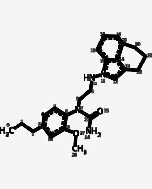 CCCc1ccc(N(CCNn2cc3c4c(cccc42)CCC3)C(N)=O)c(OC)c1